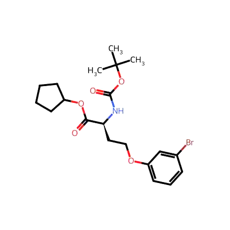 CC(C)(C)OC(=O)N[C@@H](CCOc1cccc(Br)c1)C(=O)OC1CCCC1